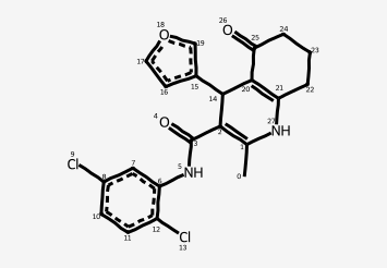 CC1=C(C(=O)Nc2cc(Cl)ccc2Cl)C(c2ccoc2)C2=C(CCCC2=O)N1